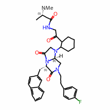 CN[C@@H](C)C(=O)NCC(=O)C1CCCCC1N1CC(=O)N2[C@@H]1CN(CCc1ccc(F)cc1)C(=O)[C@@H]2Cc1ccc2ccccc2c1